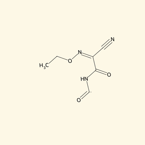 CCO/N=C(/C#N)C(=O)N[C]=O